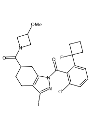 COC1CN(C(=O)C2CCc3c(I)nn(C(=O)c4c(Cl)cccc4C4(F)CCC4)c3C2)C1